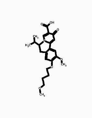 COCCCCOc1cc2c(cc1OC)-c1cc(=O)c(C(=O)O)cn1C(C(C)C)C2